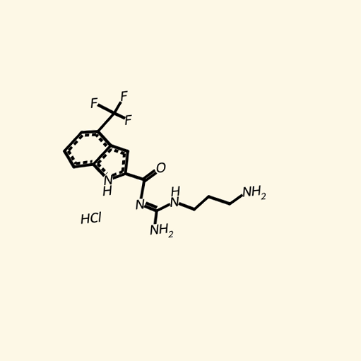 Cl.NCCCNC(N)=NC(=O)c1cc2c(C(F)(F)F)cccc2[nH]1